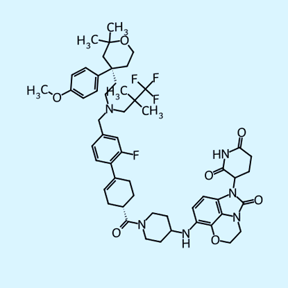 COc1ccc([C@]2(CCN(Cc3ccc(C4=CC[C@@H](C(=O)N5CCC(Nc6ccc7c8c6OCCn8c(=O)n7C6CCC(=O)NC6=O)CC5)CC4)c(F)c3)CC(C)(C)C(F)(F)F)CCOC(C)(C)C2)cc1